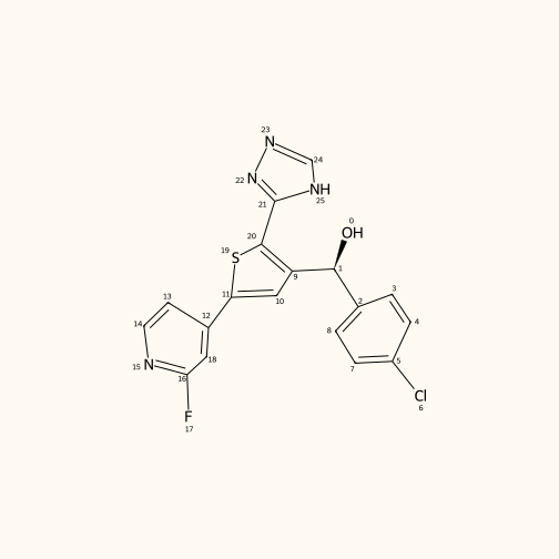 O[C@@H](c1ccc(Cl)cc1)c1cc(-c2ccnc(F)c2)sc1-c1nnc[nH]1